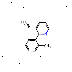 C=Cc1cccnc1-c1ccccc1C